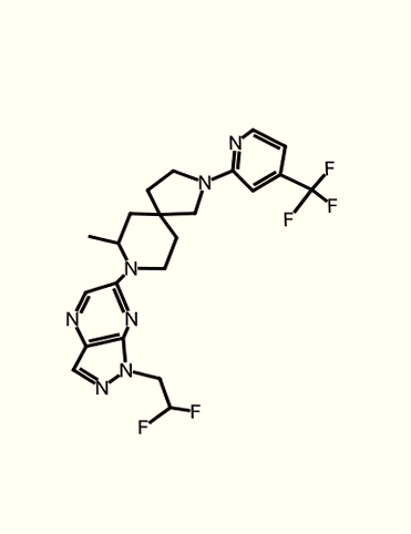 CC1CC2(CCN(c3cc(C(F)(F)F)ccn3)C2)CCN1c1cnc2cnn(CC(F)F)c2n1